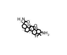 CC1(C)C(N)CC[C@]2(C)[C@H]3C(=O)C=C4[C@H]5C[C@@](C)(C(N)=O)CC[C@]5(C)CC[C@@]4(C)[C@]3(C)CC[C@@H]12